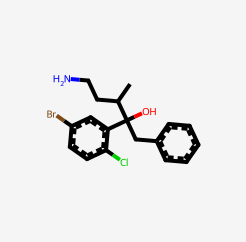 CC(CCN)C(O)(Cc1ccccc1)c1cc(Br)ccc1Cl